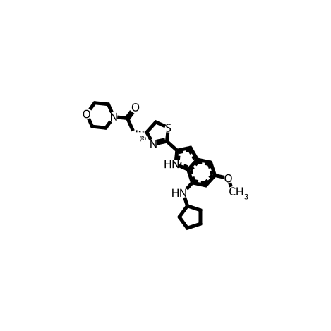 COc1cc(NC2CCCC2)c2[nH]c(C3=N[C@H](CC(=O)N4CCOCC4)CS3)cc2c1